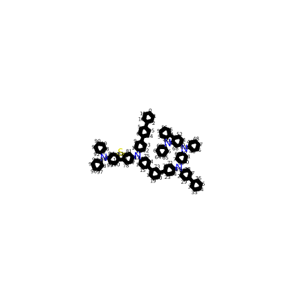 c1ccc(-c2ccc(-c3ccc(N(c4ccc(-c5cccc(-c6ccc(N(c7ccc(-c8ccccc8)cc7)c7ccc(N(c8ccccc8)c8ccc9c%10ccccc%10n(-c%10ccccc%10)c9c8)cc7)cc6)c5)cc4)c4ccc5c(c4)sc4cc(N(c6ccccc6)c6ccccc6)ccc45)cc3)cc2)cc1